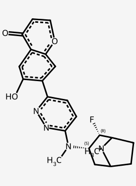 CN1C2CCC1[C@@H](F)[C@@H](N(C)c1ccc(-c3cc4occc(=O)c4cc3O)nn1)C2